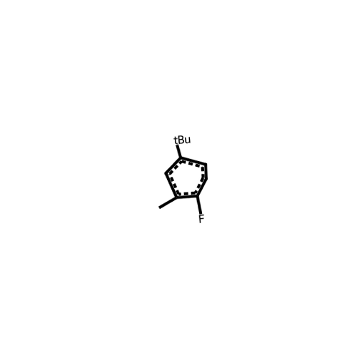 Cc1cc(C(C)(C)C)ccc1F